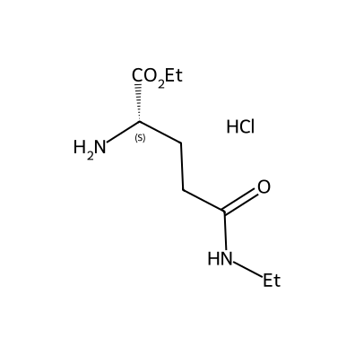 CCNC(=O)CC[C@H](N)C(=O)OCC.Cl